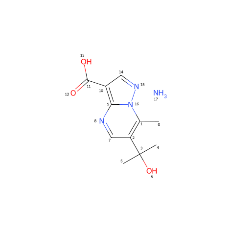 Cc1c(C(C)(C)O)cnc2c(C(=O)O)cnn12.N